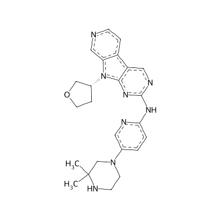 CC1(C)CN(c2ccc(Nc3ncc4c5ccncc5n([C@@H]5CCOC5)c4n3)nc2)CCN1